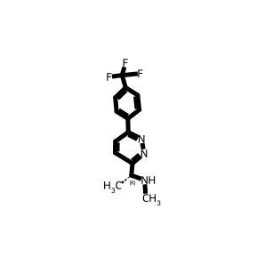 CN[C@H](C)c1ccc(-c2ccc(C(F)(F)F)cc2)nn1